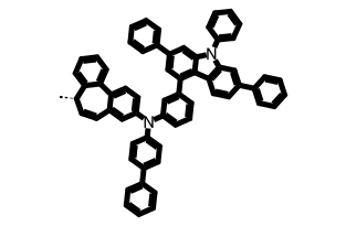 C[C@H]1C=Cc2cc(N(c3ccc(-c4ccccc4)cc3)c3cccc(-c4cc(-c5ccccc5)cc5c4c4ccc(-c6ccccc6)cc4n5-c4ccccc4)c3)ccc2-c2ccccc21